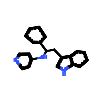 [CH](c1c[nH]c2ccccc12)C(Nc1ccncc1)c1ccccc1